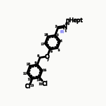 CCCCCCC/N=C/c1ccc(OCc2ccc(Cl)c(Cl)c2)cc1